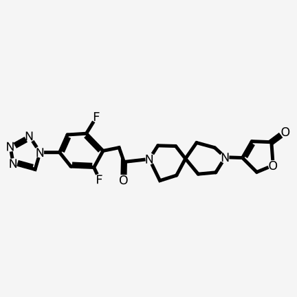 O=C1C=C(N2CCC3(CCN(C(=O)Cc4c(F)cc(-n5cnnn5)cc4F)CC3)CC2)CO1